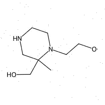 CC1(CO)CNCCN1CC[O]